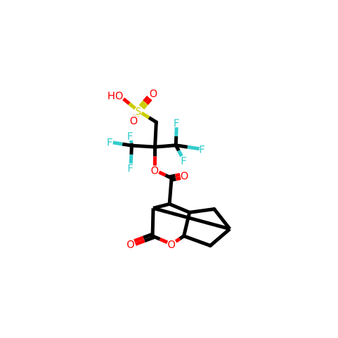 O=C1OC2CC3CC2C(C(=O)OC(CS(=O)(=O)O)(C(F)(F)F)C(F)(F)F)C13